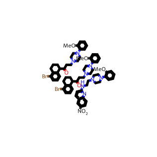 COc1ccccc1N1CCN(CCC(=O)C2CCCc3c(Br)cccc32)CC1.COc1ccccc1N1CCN(CCC(=O)C2CCCc3c(Br)cccc32)CC1.COc1ccccc1N1CCN(CCNc2ccc3cc([N+](=O)[O-])ccc3n2)CC1